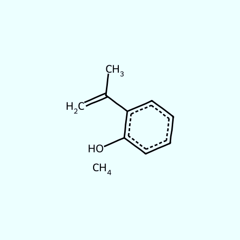 C.C=C(C)c1ccccc1O